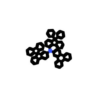 c1ccc(C2(c3ccccc3)c3ccccc3-c3c(N(c4ccc5c(c4)C4(c6ccccc6-c6ccccc64)c4ccccc4-5)c4ccc5c6ccccc6c6ccccc6c5c4)cccc32)cc1